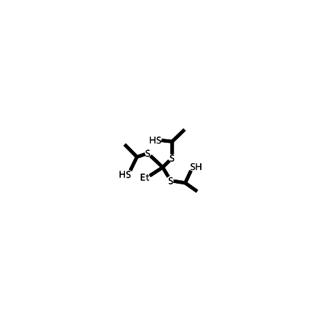 CCC(SC(C)S)(SC(C)S)SC(C)S